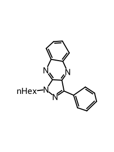 CCCCCCn1nc(-c2ccccc2)c2nc3ccccc3nc21